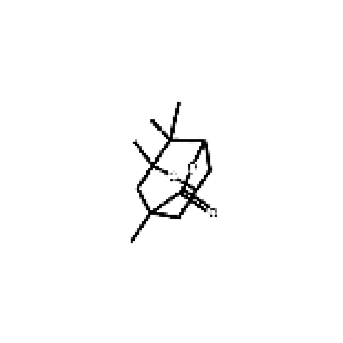 CC12CC3CC(OC1=O)C(C)(C)C(C)(C3)C2